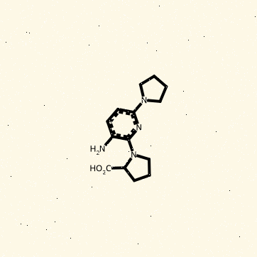 Nc1ccc(N2CCCC2)nc1N1CCCC1C(=O)O